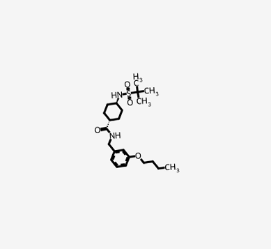 CCCCOc1cccc(CNC(=O)[C@H]2CC[C@H](NS(=O)(=O)C(C)(C)C)CC2)c1